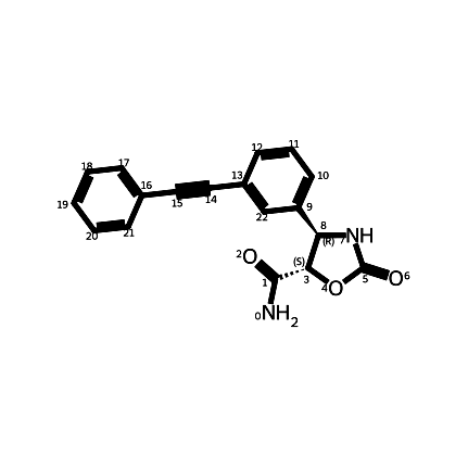 NC(=O)[C@H]1OC(=O)N[C@@H]1c1cccc(C#Cc2ccccc2)c1